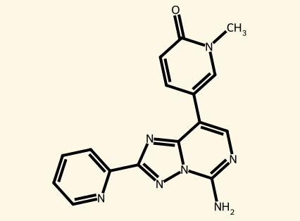 Cn1cc(-c2cnc(N)n3nc(-c4ccccn4)nc23)ccc1=O